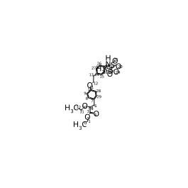 CCOC(=O)[C@H](Cc1ccc(OCCc2ccc(NS(=O)(=O)S(C)(=O)=O)cc2)cc1)OCC